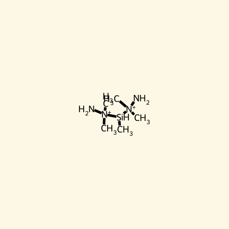 C[SiH]([N+](C)(C)N)[N+](C)(C)N